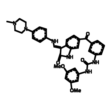 COc1cc(NC(=O)Nc2cccc(C(=O)c3ccc4c(c3)NC(=O)C4=CNc3ccc(N4CCN(C)CC4)cc3)c2)cc(OC)c1